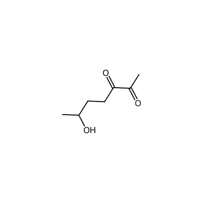 CC(=O)C(=O)CCC(C)O